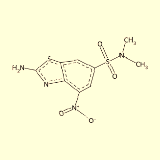 CN(C)S(=O)(=O)c1cc([N+](=O)[O-])c2nc(N)sc2c1